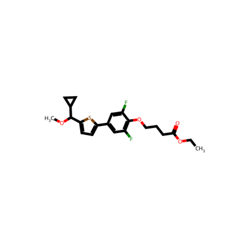 CCOC(=O)CCCOc1c(F)cc(-c2ccc(C(OC)C3CC3)s2)cc1F